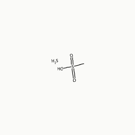 CS(=O)(=O)O.S